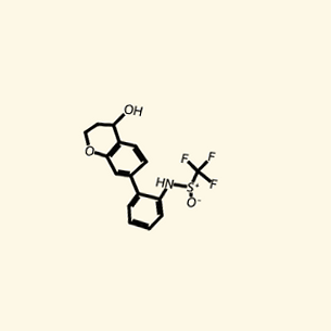 [O-][S+](Nc1ccccc1-c1ccc2c(c1)OCCC2O)C(F)(F)F